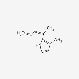 C=C/C=C(/C)c1[nH]ccc1N